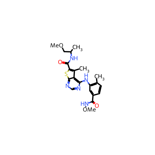 COCC(C)NC(=O)c1sc2ncnc(Nc3cc(C(=O)NOC)ccc3C)c2c1C